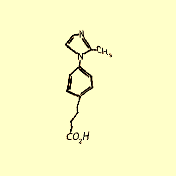 Cc1nccn1-c1ccc(CCC(=O)O)cc1